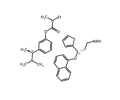 CCN(C)C(=O)Oc1cccc([C@H](C)N(C)C)c1.CNCC[C@H](Oc1cccc2ccccc12)c1cccs1